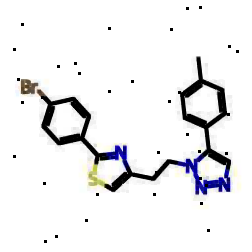 Cc1ccc(-c2cnnn2CCc2csc(-c3ccc(Br)cc3)n2)cc1